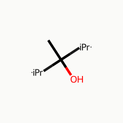 C[C](C)C(C)(O)[C](C)C